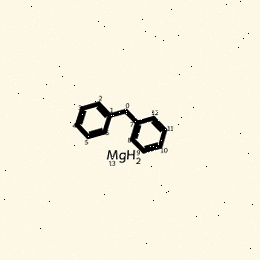 [CH](c1ccccc1)c1ccccc1.[MgH2]